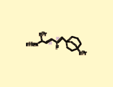 CCCCCCC(/C=C/C(F)=C/C12CCCC(CCC)(CC1)CC2)CCC